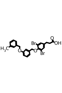 Cc1cccc(COc2cccc(COc3c(Br)cc(CCC(=O)O)cc3Br)c2)c1